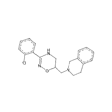 Clc1ccccc1C1=NOC(CN2CCc3ccccc3C2)CN1